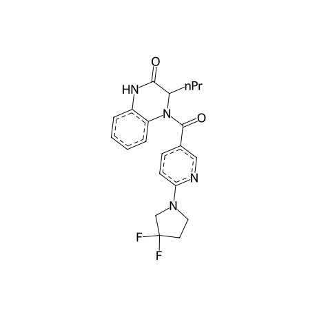 CCCC1C(=O)Nc2ccccc2N1C(=O)c1ccc(N2CCC(F)(F)C2)nc1